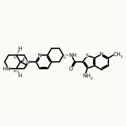 Cc1ccc2c(N)c(C(=O)N[C@H]3CCc4nc(N5C[C@@H]6CCN[C@H](C5)C6(F)F)ccc4C3)sc2n1